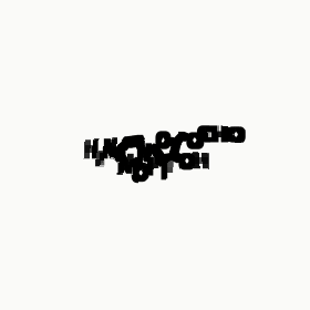 Nc1ccn(C2OC(COC=O)C(O)C2(F)F)c(=O)n1